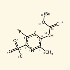 Cc1nc(S(=O)(=O)Cl)c(F)cc1NC(=O)OC(C)(C)C